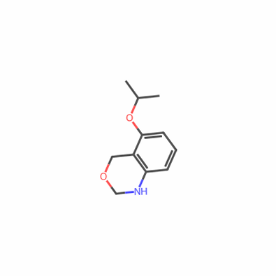 CC(C)Oc1cccc2c1COCN2